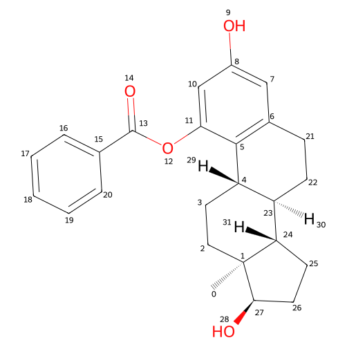 C[C@]12CC[C@@H]3c4c(cc(O)cc4OC(=O)c4ccccc4)CC[C@H]3[C@@H]1CC[C@H]2O